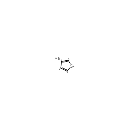 [Ti].c1ccsc1